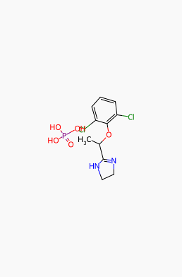 CC(Oc1c(Cl)cccc1Cl)C1=NCCN1.O=P(O)(O)O